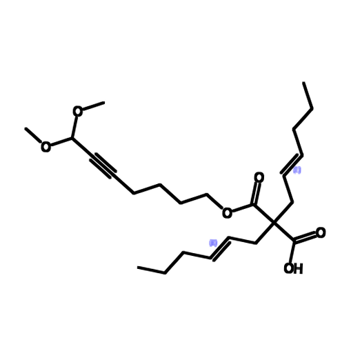 CCC/C=C/CC(C/C=C/CCC)(C(=O)O)C(=O)OCCCCC#CC(OC)OC